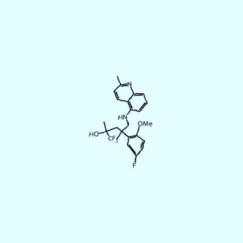 COc1ccc(F)cc1C(C)(CNc1cccc2nc(C)ccc12)CC(C)(O)C(F)(F)F